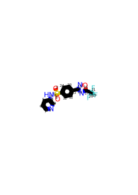 O=S(=O)(Nc1cccnc1)c1ccc(-c2noc(C(F)(F)F)n2)cc1